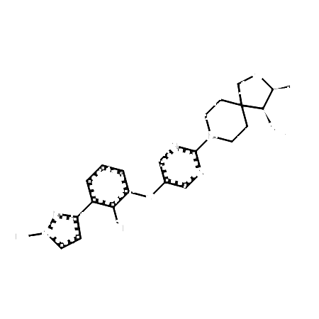 C[C@@H]1OCC2(CCN(c3ncc(Sc4cccc(-c5ccn(C)n5)c4Cl)cn3)CC2)[C@@H]1N